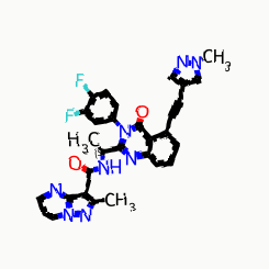 Cc1nn2cccnc2c1C(=O)N[C@@H](C)c1nc2cccc(C#Cc3cnn(C)c3)c2c(=O)n1-c1ccc(F)c(F)c1